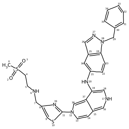 CS(=O)(=O)CCNCc1csc(N2C=CC3=CNC=C(Nc4ccc5c(cnn5Cc5ccccc5)c4)C3=C2)n1